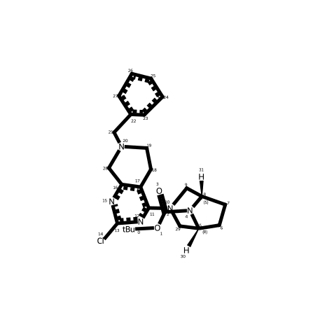 CC(C)(C)OC(=O)N1[C@@H]2CC[C@H]1CN(c1nc(Cl)nc3c1CCN(Cc1ccccc1)C3)C2